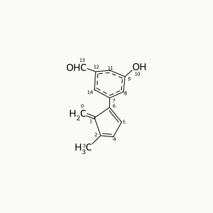 C=C1C(C)=CC=C1c1cc(O)cc(C=O)c1